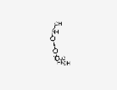 O=C(NO)c1ccnc(-c2ccc(C#Cc3ccc(CNCCCO)cc3)cc2)c1